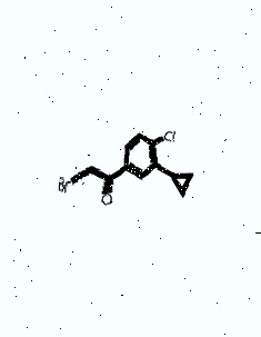 O=C(CBr)c1ccc(Cl)c(C2CC2)c1